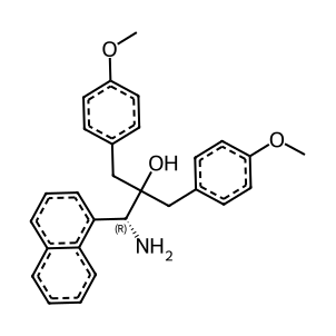 COc1ccc(CC(O)(Cc2ccc(OC)cc2)[C@H](N)c2cccc3ccccc23)cc1